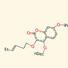 CC/C=C/CCOc1c(OCCCCCCCCCC)c2ccc(OC(C)C)cc2oc1=O